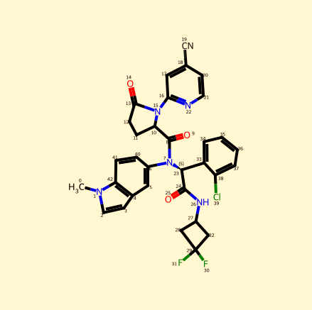 Cn1ccc2cc(N(C(=O)C3CCC(=O)N3c3cc(C#N)ccn3)[C@H](C(=O)NC3CC(F)(F)C3)c3ccccc3Cl)ccc21